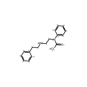 CC(=O)N(CCNCCc1ccccc1)c1ccccc1